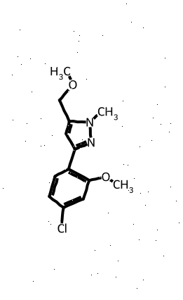 COCc1cc(-c2ccc(Cl)cc2OC)nn1C